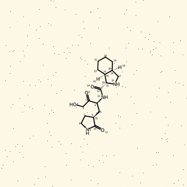 O=C(CO)C(C[C@@H]1CCNC1=O)NC(=O)[C@H]1NC[C@@H]2CCCC[C@@H]21